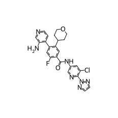 Nc1cnccc1-c1cc(F)c(C(=O)Nc2cnc(-n3nccn3)c(Cl)c2)cc1C1CCOCC1